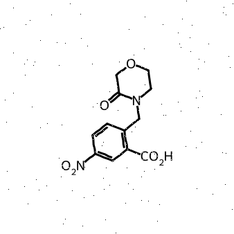 O=C(O)c1cc([N+](=O)[O-])ccc1CN1CCOCC1=O